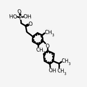 Cc1cc(CC(=O)CP(=O)(O)O)cc(C)c1Oc1ccc(O)c(C(C)C)c1